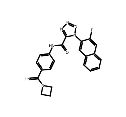 N=C(c1ccc(NC(=O)c2nnnn2-c2cc3ccccc3cc2F)cc1)N1CCC1